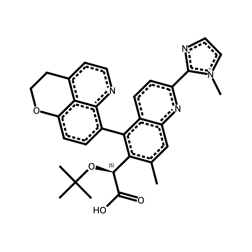 Cc1cc2nc(-c3nccn3C)ccc2c(-c2ccc3c4c(ccnc24)CCO3)c1[C@H](OC(C)(C)C)C(=O)O